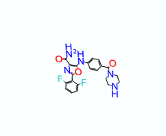 NC(=O)c1nc(-c2c(F)cccc2F)oc1Nc1ccc(C(=O)N2CCNCC2)cc1